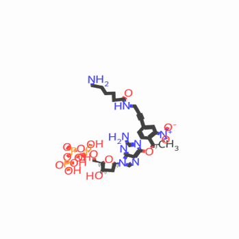 C[C@H](Oc1nc(N)nc2c1ncn2[C@H]1C[C@@H](O)[C@@H](COP(=O)(O)OP(=O)(O)OP(=O)(O)O)O1)c1ccc(C#CCNC(=O)CCCCCN)cc1[N+](=O)[O-]